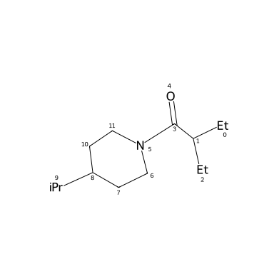 CCC(CC)C(=O)N1CCC(C(C)C)CC1